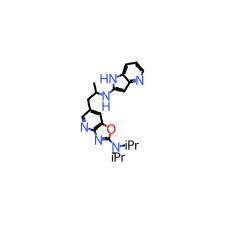 CC(Cc1cnc2nc(N(C(C)C)C(C)C)oc2c1)Nc1cc2ncccc2[nH]1